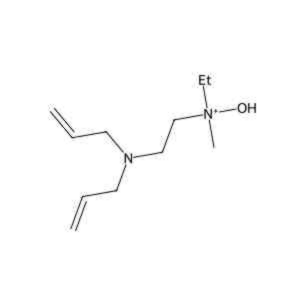 C=CCN(CC=C)CC[N+](C)(O)CC